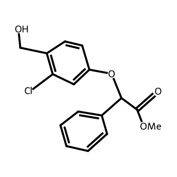 COC(=O)C(Oc1ccc(CO)c(Cl)c1)c1ccccc1